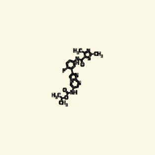 Cc1nc(C)c(C(=O)Nc2ccc(F)c(-c3cn4cc(NC(=O)OC(C)C)cnc4n3)c2)s1